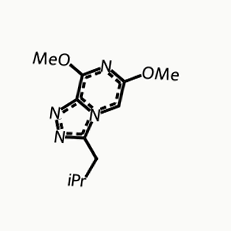 COc1cn2c(CC(C)C)nnc2c(OC)n1